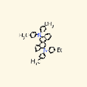 CCc1ccc(N(c2ccc(C)cc2)c2cc3c4ccccc4c(N(c4ccc(C)cc4)c4ccc(C)cc4)cc3c3ccccc23)cc1